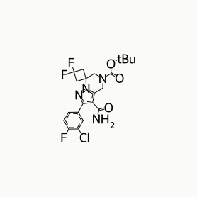 CC(C)(C)OC(=O)N1Cc2c(C(N)=O)c(-c3ccc(F)c(Cl)c3)nn2C2(C1)CC(F)(F)C2